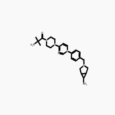 C/N=C(\C=C/N(C=O)c1ccc(CN2CC3C(N)C3C2)cc1)N1CCN(C(=O)C(C)(C)N)CC1